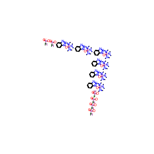 CN(C)[P+](On1nnc2ccccc21)(N(C)C)N(C)C.CN(C)[P+](On1nnc2ccccc21)(N(C)C)N(C)C.CN(C)[P+](On1nnc2ccccc21)(N(C)C)N(C)C.CN(C)[P+](On1nnc2ccccc21)(N(C)C)N(C)C.CN(C)[P+](On1nnc2ccccc21)(N(C)C)N(C)C.CN(C)[P+](On1nnc2ccccc21)(N(C)C)N(C)C.O=[PH]([O-])F.O=[PH]([O-])F.O=[PH]([O-])F.O=[PH]([O-])F.O=[PH]([O-])F.O=[PH]([O-])F